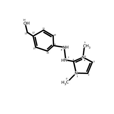 Cn1cc[n+](C)c1NNc1ccc(CO)cc1